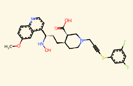 COc1ccc2nccc([C@H](CC[C@@H]3CCN(CC#CSc4cc(F)cc(F)c4)C[C@@H]3C(=O)O)NO)c2c1